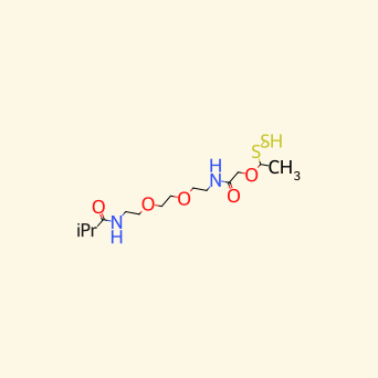 CC(OCC(=O)NCCOCCOCCNC(=O)C(C)C)SS